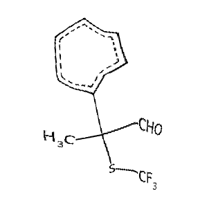 CC(C=O)(SC(F)(F)F)c1ccccc1